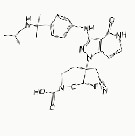 CC(C)NC(C)(C)c1ccc(Nc2nn(C3(CC#N)CCN(C(=O)O)CC3F)c3cc[nH]c(=O)c23)cc1